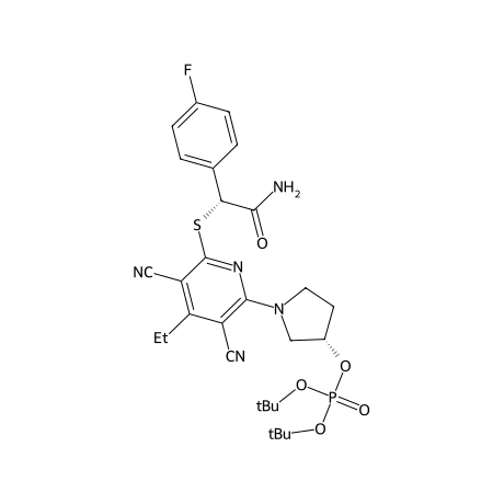 CCc1c(C#N)c(S[C@@H](C(N)=O)c2ccc(F)cc2)nc(N2CC[C@H](OP(=O)(OC(C)(C)C)OC(C)(C)C)C2)c1C#N